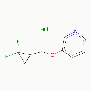 Cl.FC1(F)CC1COc1cccnc1